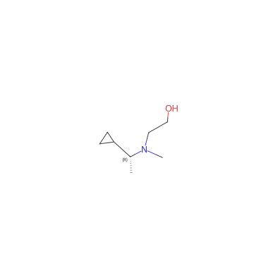 C[C@H](C1CC1)N(C)CCO